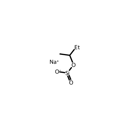 CCC(C)O[Si](=O)[O-].[Na+]